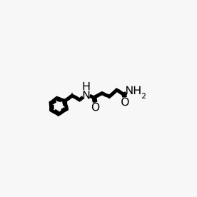 NC(=O)CCCC(=O)NC[CH]c1ccccc1